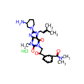 CC(C)=CCn1c(N2CCCC(N)C2)nc2c1c(=O)n(CC(=O)c1cccc(C(=O)N(C)C)c1)c(=O)n2C.Cl